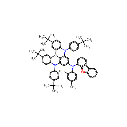 Cc1ccc(N(c2cc3c4c(c2)N(c2ccc(C(C)(C)C)cc2)c2ccc(C(C)(C)C)cc2B4c2cc(C(C)(C)C)ccc2N3c2ccc(C(C)(C)C)cc2)c2cccc3c2oc2ccccc23)c(C)c1